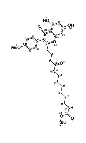 COc1ccc(-c2c(CCCC(=O)NCCCCCCNC(=O)OC(C)(C)C)oc3cc(O)cc(O)c3c2=O)cc1